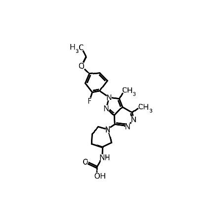 CCOc1ccc(-n2nc3c(N4CCCC(NC(=O)O)C4)nnc(C)c3c2C)c(F)c1